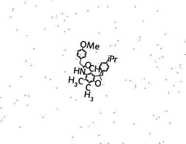 COc1ccc(CC(=O)Nc2c(C)c(C)c3c(c2C)C(c2ccc(C(C)C)cc2)CO3)cc1